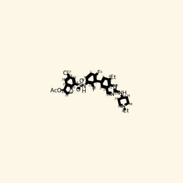 CCc1cc(-c2c(F)ccc(NS(=O)(=O)c3cc(Cl)cc4c3OC[C@H]4OC(C)=O)c2F)cc2cnc(NC3CCN(CC)CC3)nc12